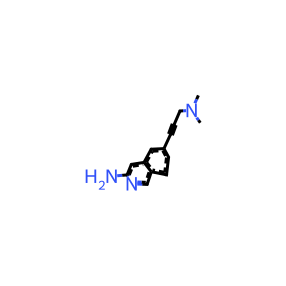 CN(C)CC#Cc1ccc2cnc(N)cc2c1